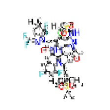 C[C@@H]1Cc2c(C(F)F)nn(CC(=O)N[C@@H](Cc3cc(F)cc(F)c3)c3nc(C#CC(C)(C)S(=O)(=O)C4CC4)ccc3-c3ccc(Cl)c4c(NS(C)(=O)=O)nn(C5COC5)c34)c2C1(F)F